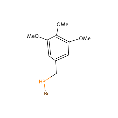 COc1cc(CPBr)cc(OC)c1OC